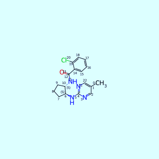 Cc1cnc(N[C@H]2CCC[C@@H]2NC(=O)c2ccccc2Cl)nc1